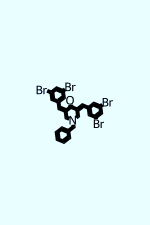 O=C1C(=Cc2cc(Br)cc(Br)c2)CN(Cc2ccccc2)CC1=Cc1cc(Br)cc(Br)c1